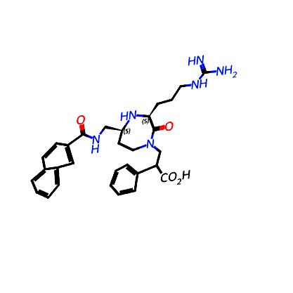 N=C(N)NCCC[C@@H]1N[C@H](CNC(=O)c2ccc3ccccc3c2)CCN(CC(C(=O)O)c2ccccc2)C1=O